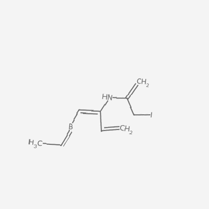 C=C/C(=C\B=C/C)NC(=C)CI